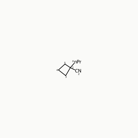 CCCC1(C#N)CCC1